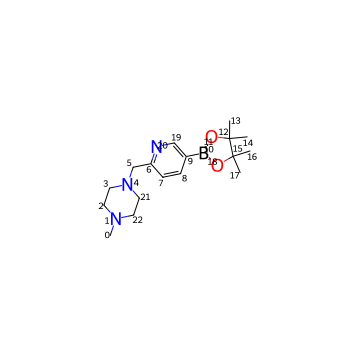 CN1CCN(Cc2ccc(B3OC(C)(C)C(C)(C)O3)cn2)CC1